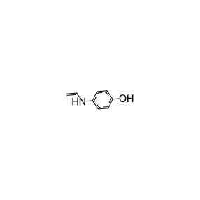 C=CNc1ccc(O)cc1